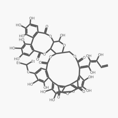 C=C/C(O)=C(O)\C(O)=C1/C(=O)OCC2OC(O)C3OC(=O)c4cc(O)c(O)c(O)c4-c4c(cc(O)c(O)c4O)C(=O)OC3C2OC(=O)c2cc(OC(CC)CC)c(O)c(O)c2-c2c(O)c(O)c3oc(=O)c4c1c(O)c(O)c1oc(=O)c2c3c14